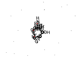 CCn1c(-c2cnccc2COC)c2c3cc(ccc31)-c1cc(O)cc(c1)C[C@H](NC(=O)[C@H](C(C)C)N(C)C(=O)[C@@H]1CNC[C@@H]1C(F)(F)F)C(=O)N1CCC[C@H](N1)C(=O)OCC(C)(C)C2